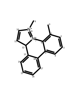 Cc1cccc2c1[N+]1=[N+](C)C=CC1c1ccccc1-2